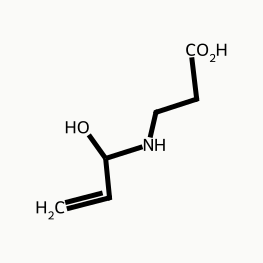 C=CC(O)NCCC(=O)O